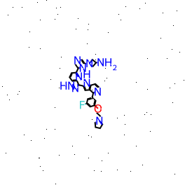 NC1CN(c2cncc(-c3ccc4[nH]nc(-c5cc6c(-c7cc(F)cc(OCCN8CCCC8)c7)nccc6[nH]5)c4n3)n2)C1